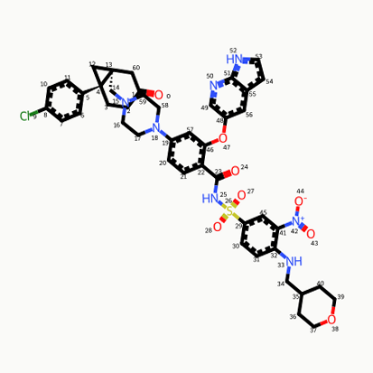 O=C1CC[C@]2(c3ccc(Cl)cc3)C[C@@]2(CN2CCN(c3ccc(C(=O)NS(=O)(=O)c4ccc(NCC5CCOCC5)c([N+](=O)[O-])c4)c(Oc4cnc5[nH]ccc5c4)c3)CC2)C1